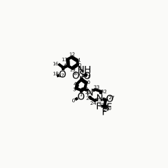 COc1ccc(S(=O)(=O)Nc2cccc(C(C)OC)c2)cc1N1CCN(C(=O)C(F)(F)F)CC1